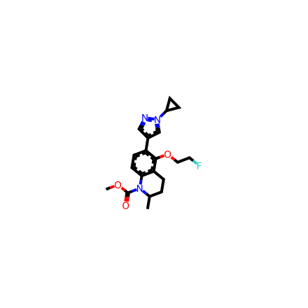 COC(=O)N1c2ccc(-c3cnn(C4CC4)c3)c(OCCF)c2CCC1C